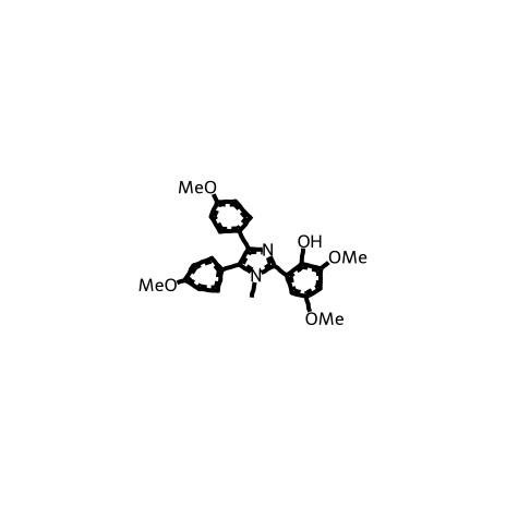 COc1ccc(-c2nc(-c3cc(OC)cc(OC)c3O)n(C)c2-c2ccc(OC)cc2)cc1